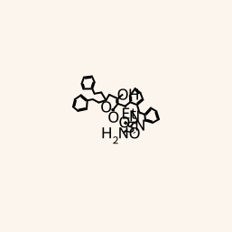 CCC(C1=C(O)CC(CCc2ccccc2)(CCc2ccccc2)OC1=O)c1ccccc1-c1nc(S(N)(=O)=O)nc2ccccc12